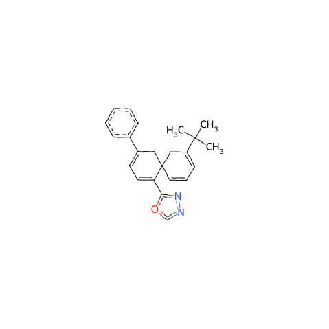 CC(C)(C)C1=CC=CC2(CC(c3ccccc3)=CC=C2c2nnco2)C1